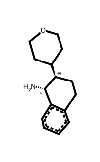 N[C@H]1c2ccccc2CC[C@@H]1C1CCOCC1